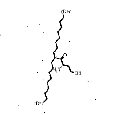 CCCCCCCCCCCCCCCCCCN(CCCCCCCCCCCCCCCCCC)C(=O)[C@@H](N)CCO